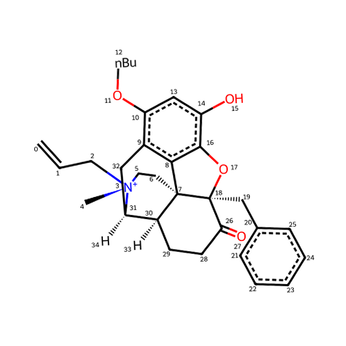 C=CC[N@+]1(C)CC[C@]23c4c5c(OCCCC)cc(O)c4O[C@@]2(Cc2ccccc2)C(=O)CC[C@H]3[C@H]1C5